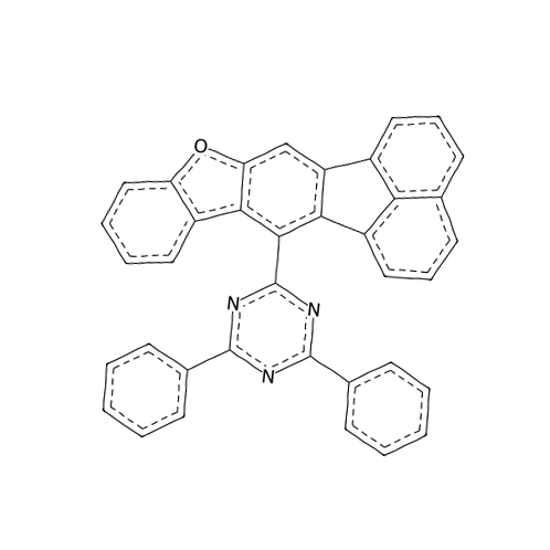 c1ccc(-c2nc(-c3ccccc3)nc(-c3c4c(cc5oc6ccccc6c35)-c3cccc5cccc-4c35)n2)cc1